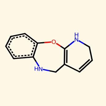 C1=CC2=C(NC1)Oc1ccccc1NC2